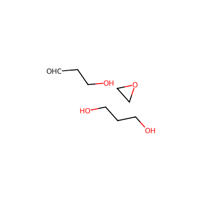 C1CO1.O=CCCO.OCCCO